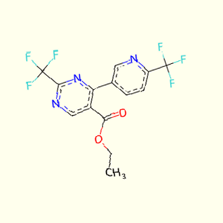 CCOC(=O)c1cnc(C(F)(F)F)nc1-c1ccc(C(F)(F)F)nc1